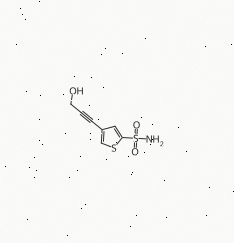 NS(=O)(=O)c1cc(C#CCO)cs1